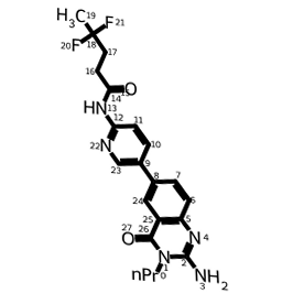 CCCn1c(N)nc2ccc(-c3ccc(NC(=O)CCC(C)(F)F)nc3)cc2c1=O